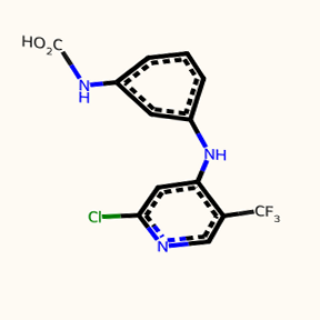 O=C(O)Nc1cccc(Nc2cc(Cl)ncc2C(F)(F)F)c1